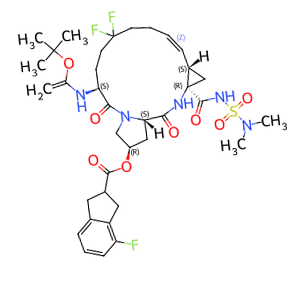 C=C(N[C@H]1CCC(F)(F)CC/C=C\[C@@H]2C[C@@]2(C(=O)NS(=O)(=O)N(C)C)NC(=O)[C@@H]2C[C@@H](OC(=O)C3Cc4cccc(F)c4C3)CN2C1=O)OC(C)(C)C